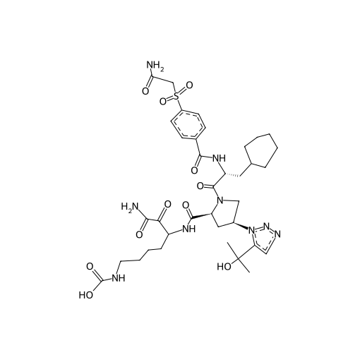 CC(C)(O)c1cnnn1[C@H]1C[C@@H](C(=O)NC(CCCCNC(=O)O)C(=O)C(N)=O)N(C(=O)[C@@H](CC2CCCCC2)NC(=O)c2ccc(S(=O)(=O)CC(N)=O)cc2)C1